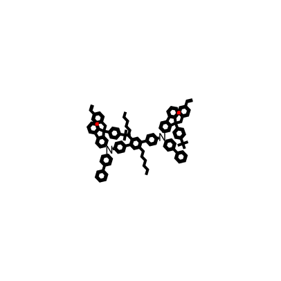 C=Cc1ccc(CC2(c3ccc(C(C)(C)C)cc3)c3ccccc3-c3ccc(N(c4ccc(-c5ccccc5)cc4)c4ccc(-c5cc(CCCCCC)c(-c6ccc(N(c7ccc(-c8ccccc8)cc7)c7ccc8c(c7)C(Cc7ccc(C=C)cc7)(c7ccc(C(C)(C)C)cc7)c7ccccc7-8)cc6)cc5CCCCCC)cc4)cc32)cc1